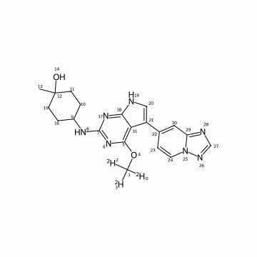 [2H]C([2H])([2H])Oc1nc(NC2CCC(C)(O)CC2)nc2[nH]cc(-c3ccn4ncnc4c3)c12